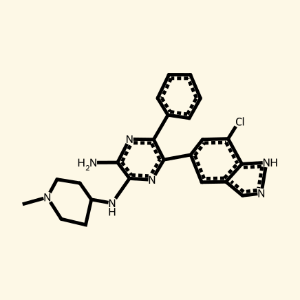 CN1CCC(Nc2nc(-c3cc(Cl)c4[nH]ncc4c3)c(-c3ccccc3)nc2N)CC1